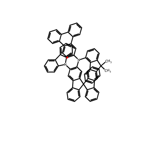 CC1(C)c2ccccc2-c2c(N(c3ccc4c5ccccc5c5ccccc5c4c3)c3cc4c(cc3-n3c5ccccc5c5ccccc53)-c3ccccc3C43c4ccccc4-c4ccccc43)cccc21